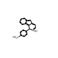 Cl.O=C(O)c1ccc(C2N=CC=C3C=c4ccccc4=C32)cc1